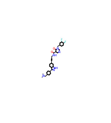 CN(C)Cc1ccc(-c2n[nH]c3cc(C#CCNC(=O)c4cncn(Cc5ccc(F)c(F)c5)c4=O)ccc23)cc1